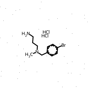 CN(CCCN)Cc1ccc(Br)cc1.Cl.Cl